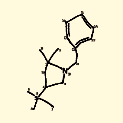 CC1(C)CC([Si](C)(C)C)CN1Cc1ccccc1